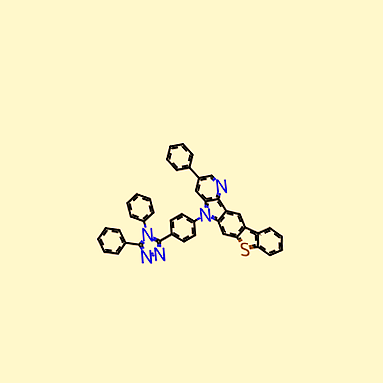 c1ccc(-c2cnc3c4cc5c(cc4n(-c4ccc(-c6nnc(-c7ccccc7)n6-c6ccccc6)cc4)c3c2)sc2ccccc25)cc1